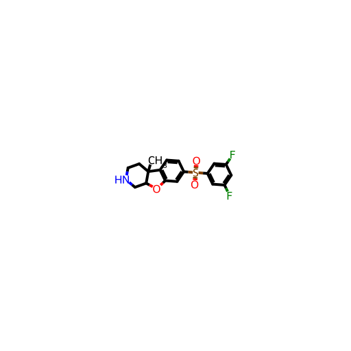 CC12CCNCC1Oc1cc(S(=O)(=O)c3cc(F)cc(F)c3)ccc12